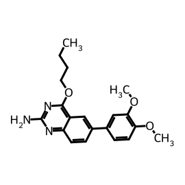 CCCCOc1nc(N)nc2ccc(-c3ccc(OC)c(OC)c3)cc12